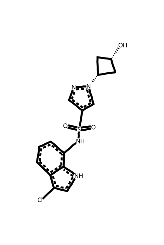 O=S(=O)(Nc1cccc2c(Cl)c[nH]c12)c1cnn([C@H]2C[C@@H](O)C2)c1